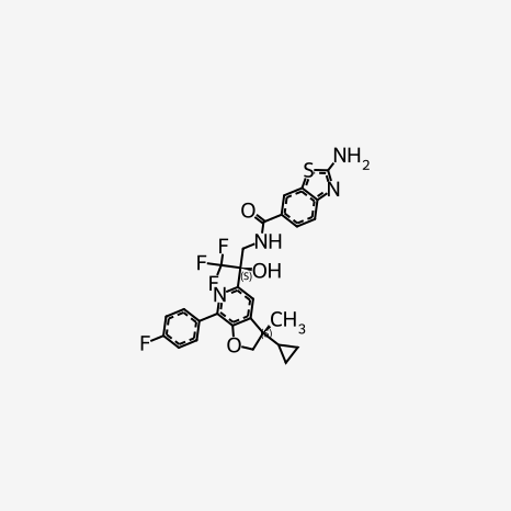 C[C@@]1(C2CC2)COc2c1cc([C@@](O)(CNC(=O)c1ccc3nc(N)sc3c1)C(F)(F)F)nc2-c1ccc(F)cc1